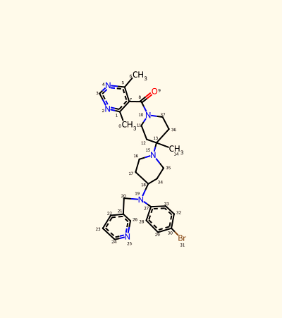 Cc1ncnc(C)c1C(=O)N1CCC(C)(N2CCC(N(Cc3cccnc3)c3ccc(Br)cc3)CC2)CC1